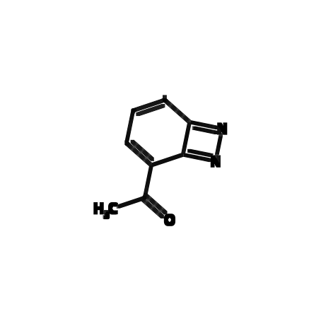 CC(=O)c1cc[c]c2c1=NN=2